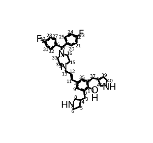 Oc1c(CC2CCNC2)cc(C=CCN2CCN(C(c3ccc(F)cc3)c3ccc(F)cc3)CC2)cc1CC1CCNC1